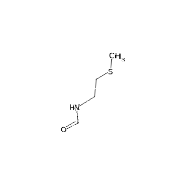 CSCCNC=O